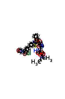 CCCN(C)C(=O)OS(=O)(=O)NCc1nnc(C(c2nc3ccc(-c4ccc(C(=O)N5CCOCC5)c(Cl)c4)cc3s2)S(=O)(=O)Cc2ccccc2)o1